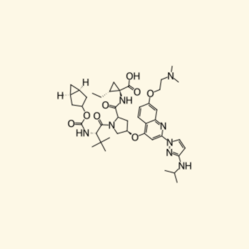 CC[C@@H]1C[C@]1(NC(=O)C1C[C@@H](Oc2cc(-n3ccc(NC(C)C)n3)nc3cc(OCCN(C)C)ccc23)CN1C(=O)[C@@H](NC(=O)OC1C[C@@H]2C[C@@H]2C1)C(C)(C)C)C(=O)O